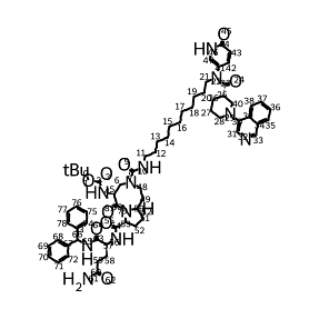 CC(C)(C)OC(=O)N[C@H]1CN(C(=O)NCCCCCCCCCCCN(C(=O)[C@H]2CCCN(c3cncc4ccccc34)C2)c2ccc(=O)[nH]c2)CC[C@H]2CC[C@@H](C(=O)N[C@@H](CCC(N)=O)C(=O)NC(c3ccccc3)c3ccccc3)N2C1=O